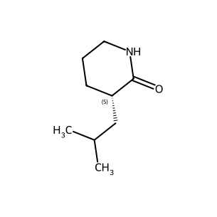 CC(C)C[C@@H]1CCCNC1=O